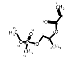 C=CC(=O)OC(C)COP(C)(=O)OC